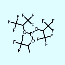 CC(OP(OC(C(F)(F)F)C(F)(F)F)OC(C(F)(F)F)C(F)(F)F)C(F)(F)F